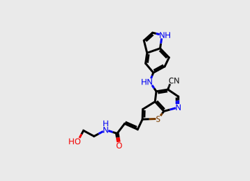 N#Cc1cnc2sc(C=CC(=O)NCCO)cc2c1Nc1ccc2[nH]ccc2c1